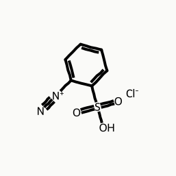 N#[N+]c1ccccc1S(=O)(=O)O.[Cl-]